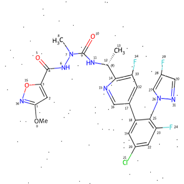 COc1cc(C(=O)NN(C)C(=O)N[C@H](C)c2ncc(-c3cc(Cl)cc(F)c3-n3cc(F)cn3)cc2F)on1